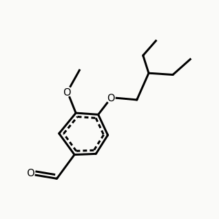 CCC(CC)COc1ccc(C=O)cc1OC